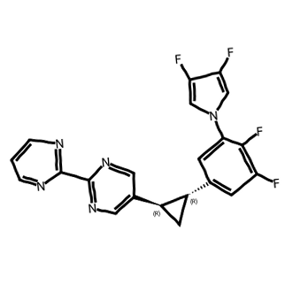 Fc1cn(-c2cc([C@@H]3C[C@H]3c3cnc(-c4ncccn4)nc3)cc(F)c2F)cc1F